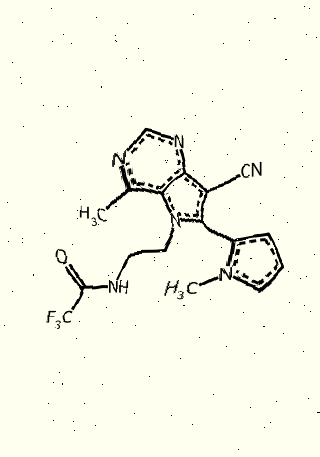 Cc1ncnc2c(C#N)c(-c3cccn3C)n(CCNC(=O)C(F)(F)F)c12